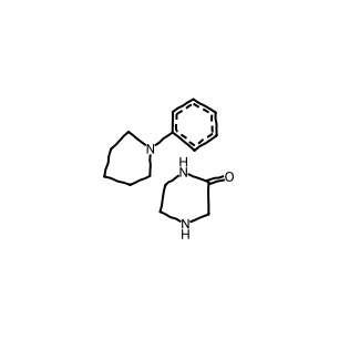 O=C1CNCCN1.c1ccc(N2CCCCC2)cc1